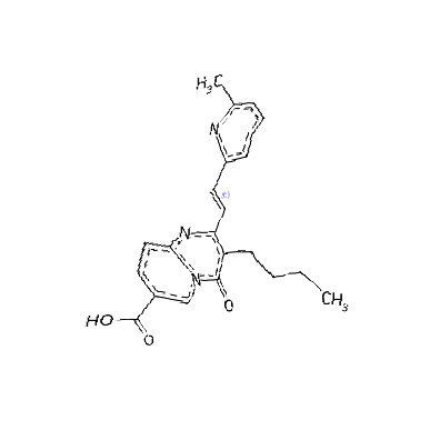 CCCCc1c(/C=C/c2cccc(C)n2)nc2ccc(C(=O)O)cn2c1=O